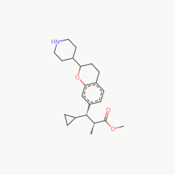 COC(=O)[C@@H](C)[C@H](c1ccc2c(c1)OC(C1CCNCC1)CC2)C1CC1